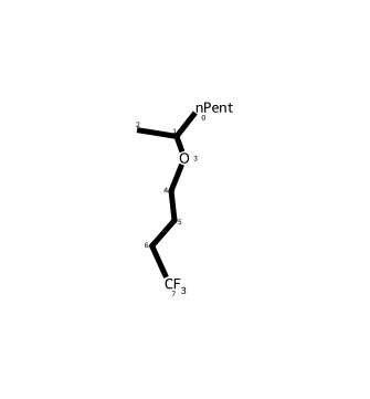 CCCCCC(C)OCC[CH]C(F)(F)F